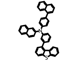 c1cc(-c2cccc3sc4ccccc4c23)cc(N(c2ccc(-c3cccc4ccccc34)cc2)c2ccc3ccccc3c2)c1